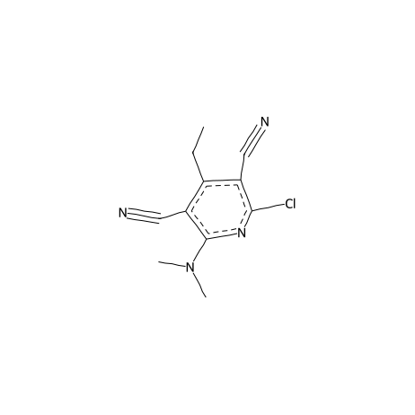 CCc1c(C#N)c(Cl)nc(N(C)C)c1C#N